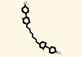 Fc1cc(CCCCCCCc2ccc(-c3ccc(C(F)(F)F)cc3)c(F)c2)ccc1-c1ccc(C(F)(F)F)cc1